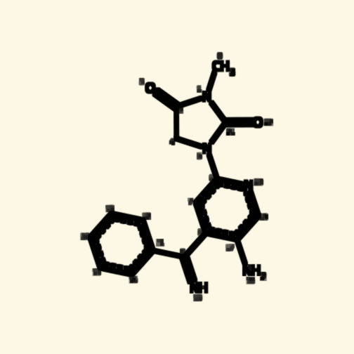 CN1C(=O)CN(c2cc(C(=N)c3ccccc3)c(N)cn2)C1=O